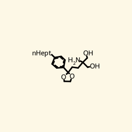 CCCCCCCc1ccc(C2(CCC(N)(CO)CO)OCCO2)cc1